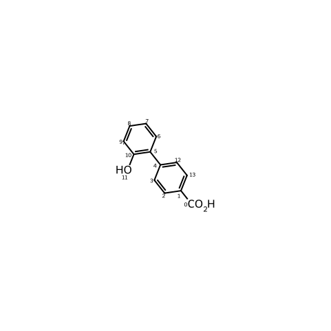 O=C(O)c1ccc(-c2ccc[c]c2O)cc1